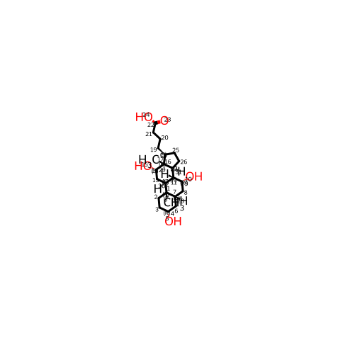 C[C@]12CC[C@@H](O)C[C@H]1C[C@@H](O)[C@@H]1[C@@H]2C[C@H](O)[C@]2(C)[C@@H](CCCC(=O)O)CC[C@@H]12